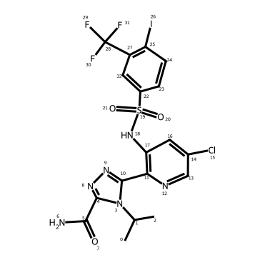 CC(C)n1c(C(N)=O)nnc1-c1ncc(Cl)cc1NS(=O)(=O)c1ccc(I)c(C(F)(F)F)c1